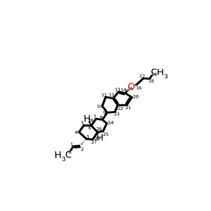 CC=C[C@@H]1CC[C@@H]2CC(C3CCc4cc(OCCCC)ccc4C3)CC[C@@H]2C1